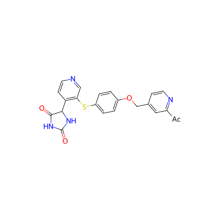 CC(=O)c1cc(COc2ccc(Sc3cnccc3C3NC(=O)NC3=O)cc2)ccn1